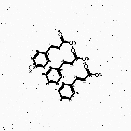 O=C([O-])C=Cc1ccccc1.O=C([O-])C=Cc1ccccc1.O=C([O-])C=Cc1ccccc1.[Ga+3]